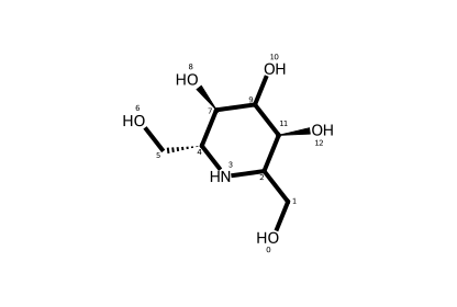 OCC1N[C@H](CO)[C@@H](O)C(O)[C@H]1O